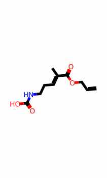 C=CCOC(=O)C(C)=CCCNC(=O)O